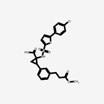 COC(=O)CCc1cccc(C2CC2(NS(=O)(=O)c2ccc(-c3ccc(Cl)cc3)s2)C(=O)O)c1